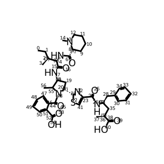 CC[C@H](C)[C@H](NC(=O)[C@H]1CCCCN1C)C(=O)N[C@@H]1C[C@H](c2nc(C(=O)N[C@@H](Cc3ccccc3)C[C@H](C)C(=O)O)cs2)N(C(=O)c2ccccc2C(=O)O)C1C